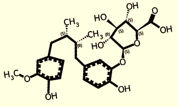 COc1cc(C[C@H](C)[C@H](C)Cc2ccc(O)c(O[C@@H]3O[C@H](C(=O)O)[C@@H](O)[C@H](O)[C@H]3O)c2)ccc1O